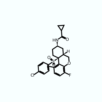 O=C(N[C@@H]1CC[C@@]2(S(=O)(=O)c3ccc(Cl)cc3)c3c(F)ccc(F)c3OC[C@H]2C1)C1CC1